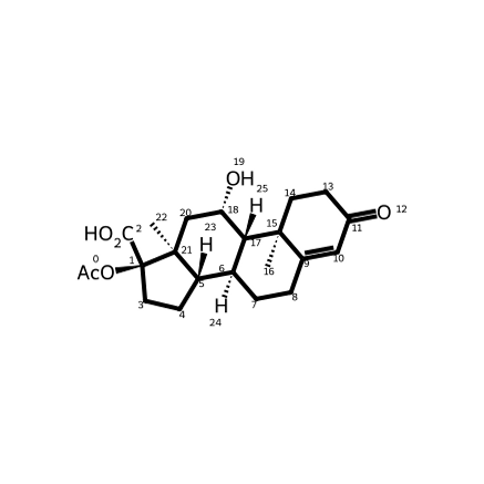 CC(=O)O[C@]1(C(=O)O)CC[C@H]2[C@@H]3CCC4=CC(=O)CC[C@]4(C)[C@H]3[C@@H](O)C[C@@]21C